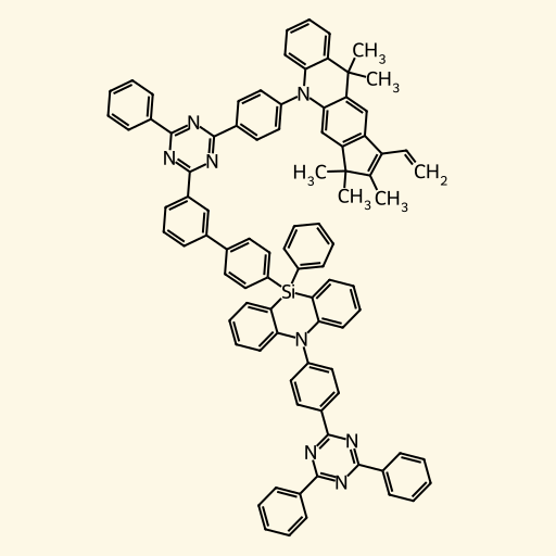 C=CC1=C(C)C(C)(C)c2cc3c(cc21)C(C)(C)c1ccccc1N3c1ccc(-c2nc(-c3ccccc3)nc(-c3cccc(-c4ccc([Si]5(c6ccccc6)c6ccccc6N(c6ccc(-c7nc(-c8ccccc8)nc(-c8ccccc8)n7)cc6)c6ccccc65)cc4)c3)n2)cc1